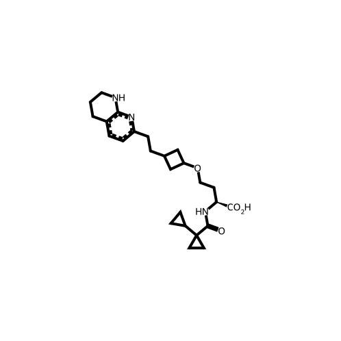 O=C(O)[C@H](CCOC1CC(CCc2ccc3c(n2)NCCC3)C1)NC(=O)C1(C2CC2)CC1